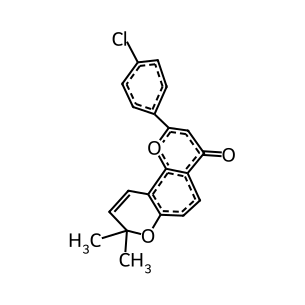 CC1(C)C=Cc2c(ccc3c(=O)cc(-c4ccc(Cl)cc4)oc23)O1